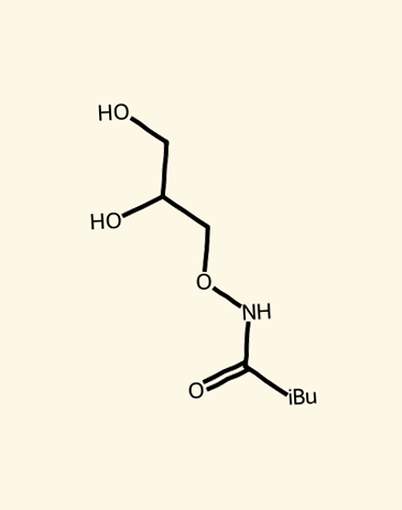 CCC(C)C(=O)NOCC(O)CO